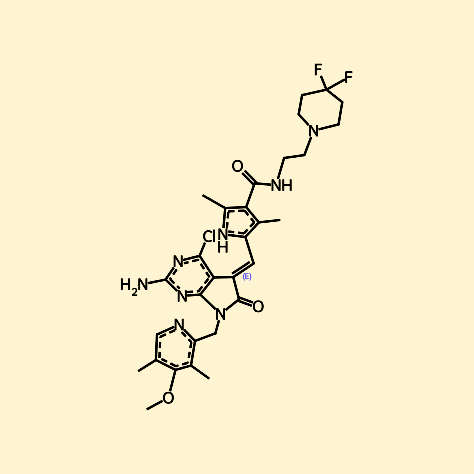 COc1c(C)cnc(CN2C(=O)/C(=C/c3[nH]c(C)c(C(=O)NCCN4CCC(F)(F)CC4)c3C)c3c(Cl)nc(N)nc32)c1C